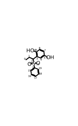 CCC(c1cc(O)ccc1O)S(=O)(=O)c1ccccc1